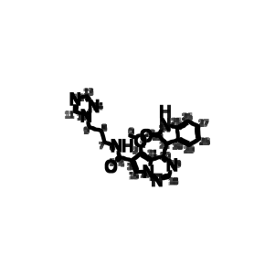 COc1c(C(=O)NCCCn2cncn2)cn2ncnc(C3C(=O)Nc4ccccc43)c12